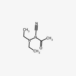 CCN(CC)N(C#N)C(C)=O